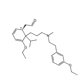 CCOC1=CC=C[C@@H](CC=O)C1(CCCN(C)CCc1cccc(OCC)c1)C(C)C